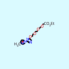 CCOC(=O)COCCOCCOCCOc1cncc(N2CC3CCCC2CN3C)n1